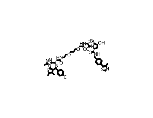 Cc1ncsc1-c1ccc(CNC(=O)[C@@H]2C[C@@H](O)CN2C(=O)[C@@H](NC(=O)COCCCOCCNC(=O)C[C@@H]2N=C(c3ccc(Cl)cc3)c3c(sc(C)c3C)-n3c(C)nnc32)C(C)(C)C)cc1